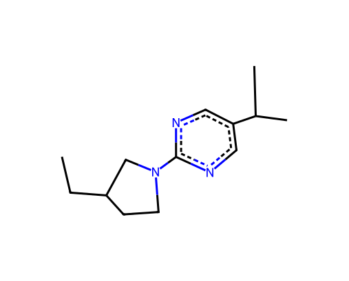 CCC1CCN(c2ncc(C(C)C)cn2)C1